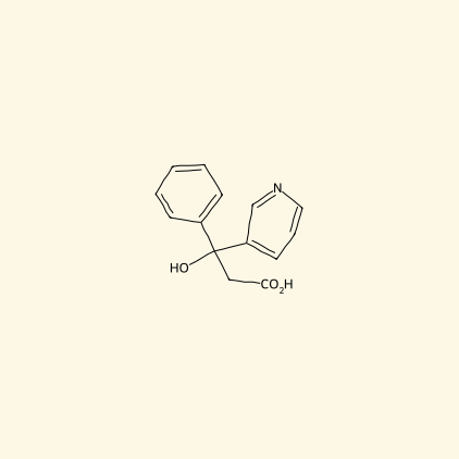 O=C(O)CC(O)(c1ccccc1)c1cccnc1